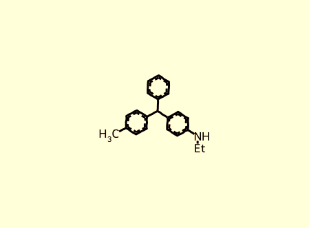 CCNc1ccc(C(c2ccccc2)c2ccc(C)cc2)cc1